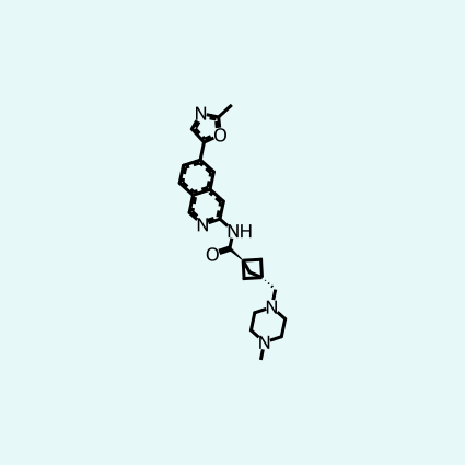 Cc1ncc(-c2ccc3cnc(NC(=O)[C@]45C[C@@](CN6CCN(C)CC6)(C4)C5)cc3c2)o1